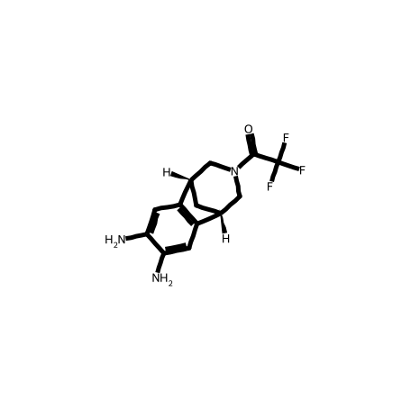 Nc1cc2c(cc1N)[C@H]1C[C@@H]2CN(C(=O)C(F)(F)F)C1